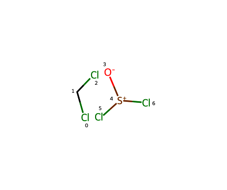 ClCCl.[O-][S+](Cl)Cl